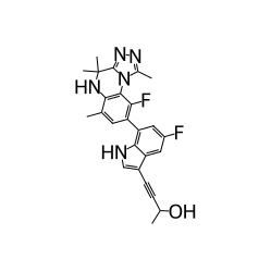 Cc1cc(-c2cc(F)cc3c(C#CC(C)O)c[nH]c23)c(F)c2c1NC(C)(C)c1nnc(C)n1-2